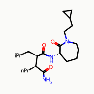 CCC[C@H](C(N)=O)[C@@H](CC(C)C)C(=O)N[C@H]1CCCCN(CCC2CC2)C1=O